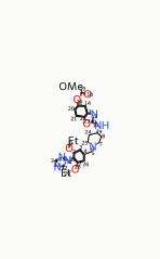 CCOc1cc(CN2CCC(Nc3nc4cc(OC(=O)OC)ccc4o3)CC2)cc(OCC)c1-n1cncn1